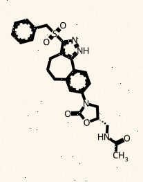 CC(=O)NC[C@H]1CN(c2ccc3c(c2)CCCc2c(S(=O)(=O)Cc4ccccc4)n[nH]c2-3)C(=O)O1